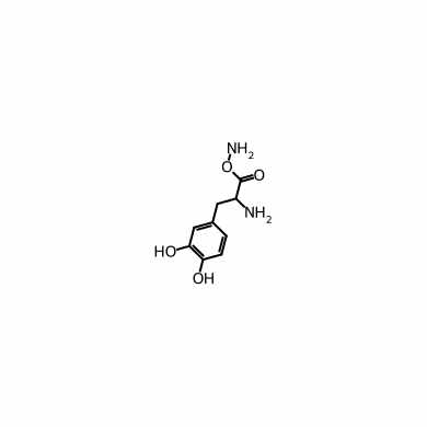 NOC(=O)C(N)Cc1ccc(O)c(O)c1